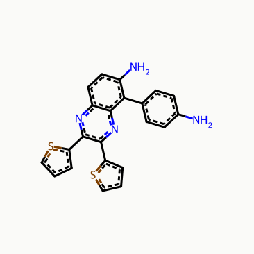 Nc1ccc(-c2c(N)ccc3nc(-c4cccs4)c(-c4cccs4)nc23)cc1